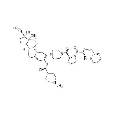 C#C[C@]1(O)CCC2[C@@H]3CCc4cc(OC(=O)C5CCN(C)CC5)c(N5CCN(C(=O)[C@@H]6CCCN6C(=O)c6ccc7ccccc7n6)CC5)cc4C3CC[C@@]21C